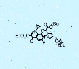 CCOC(=O)c1cn(C2CC2)c2c(OC(C(=O)OC(C)(C)C)[C@@H]3C[C@H](CO[Si](C)(C)C(C)(C)C)CN3)c(F)c(F)cc2c1=O